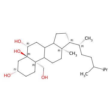 CC(C)C(C)CC[C@@H](C)[C@H]1CCC2C3C[C@@H](O)[C@@]4(O)C[C@@H](O)CC[C@]4(CO)C3CC[C@@]21C